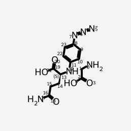 NCC(=O)O.[N-]=[N+]=Nc1ccc(N[C@@H](CCC(N)=O)C(=O)O)cc1